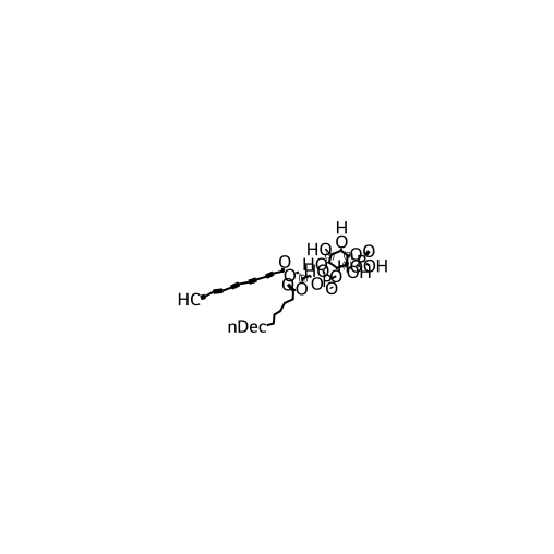 C#CC#CC#CC#CC#CC(=O)OC[C@H](COP(=O)(O)OC1C(O)[C@@H](O)C(O)[C@@H](OP(=O)(O)O)[C@H]1O)OC(=O)CCCCCCCCCCCCCCC